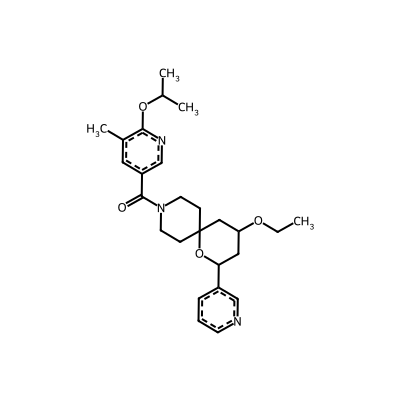 CCOC1CC(c2cccnc2)OC2(CCN(C(=O)c3cnc(OC(C)C)c(C)c3)CC2)C1